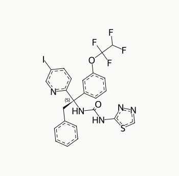 O=C(Nc1nncs1)N[C@@](Cc1ccccc1)(c1cccc(OC(F)(F)C(F)F)c1)c1ccc(I)cn1